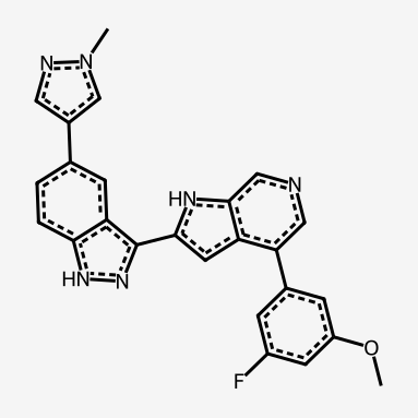 COc1cc(F)cc(-c2cncc3[nH]c(-c4n[nH]c5ccc(-c6cnn(C)c6)cc45)cc23)c1